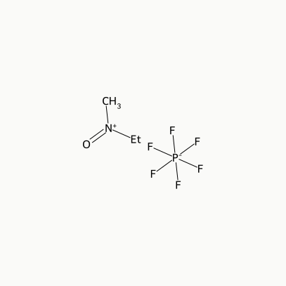 CC[N+](C)=O.F[P-](F)(F)(F)(F)F